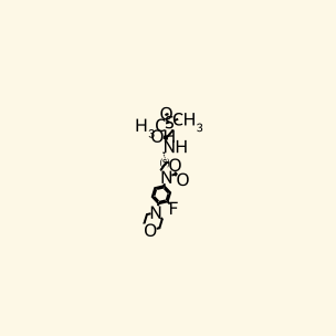 C[SH](C)(=O)CC(=O)NC[C@H]1CN(c2ccc(N3CCOCC3)c(F)c2)C(=O)O1